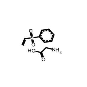 C=CS(=O)(=O)c1ccccc1.NCC(=O)O